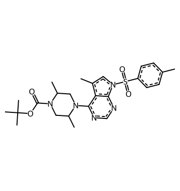 Cc1ccc(S(=O)(=O)n2cc(C)c3c(N4CC(C)N(C(=O)OC(C)(C)C)CC4C)ncnc32)cc1